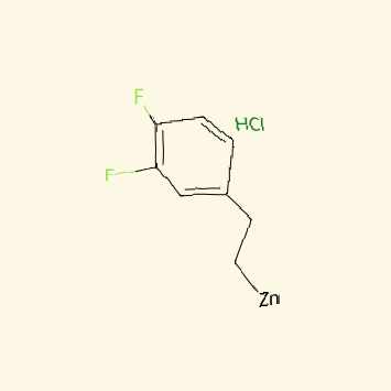 Cl.Fc1ccc(C[CH2][Zn])cc1F